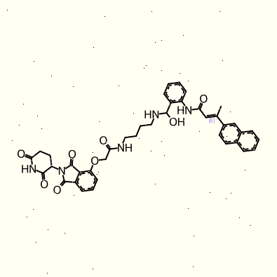 C/C(=C\C(=O)Nc1ccccc1C(O)NCCCCNC(=O)COc1cccc2c1C(=O)N(C1CCC(=O)NC1=O)C2=O)c1ccc2ccccc2c1